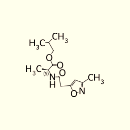 Cc1cc(CC(=O)N[C@@H](C)C(=O)OCC(C)C)on1